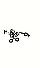 COC(=O)[C@@H]1CN(CC#Cc2ccc(F)cc2)CCN1C(=O)C(c1ccccc1)c1ccccc1